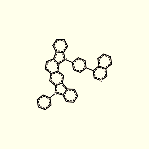 c1ccc(-n2c3ccccc3c3cc4c(ccc5c6ccccc6n(-c6ccc(-c7cncc8ccccc78)cc6)c45)cc32)cc1